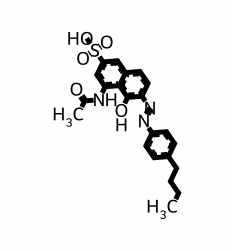 CCCCc1ccc(N=Nc2ccc3cc(S(=O)(=O)O)cc(NC(C)=O)c3c2O)cc1